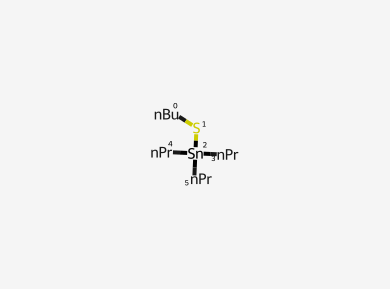 CCCC[S][Sn]([CH2]CC)([CH2]CC)[CH2]CC